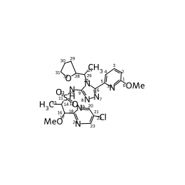 COc1cccc(-c2nnc(NS(=O)(=O)C(C)C(OC)c3ncc(Cl)cn3)n2C(C)C2CCCO2)n1